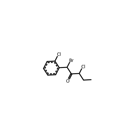 CCC(Cl)C(=O)C(Br)c1ccccc1Cl